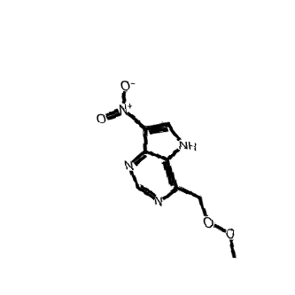 COOCc1ncnc2c([N+](=O)[O-])c[nH]c12